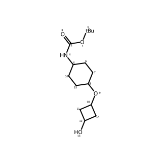 CC(C)(C)OC(=O)NC1CCC(OC2CC(O)C2)CC1